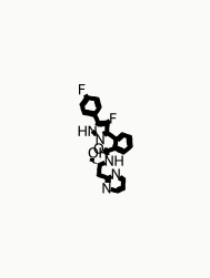 O=C(N[C@@H](CO)Cc1ncccn1)c1ccccc1-c1n[nH]c(-c2ccc(F)cc2)c1F